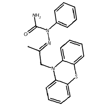 CC(CN1c2ccccc2Sc2ccccc21)=NN(C(N)=O)c1ccccc1